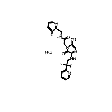 Cl.N#Cc1cnc(NCC(F)(F)c2ccccn2)c(=O)n1CC(=O)NCc1ncccc1F